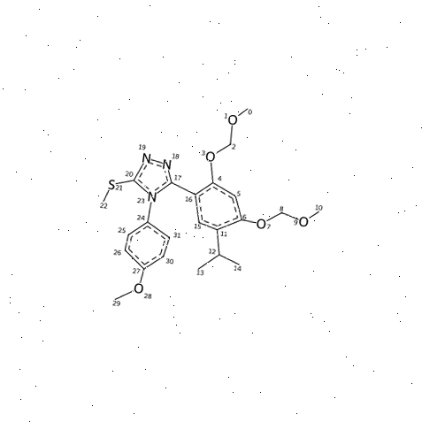 COCOc1cc(OCOC)c(C(C)C)cc1-c1nnc(SC)n1-c1ccc(OC)cc1